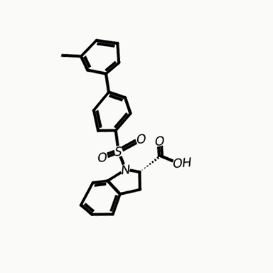 Cc1cccc(-c2ccc(S(=O)(=O)N3c4ccccc4C[C@H]3C(=O)O)cc2)c1